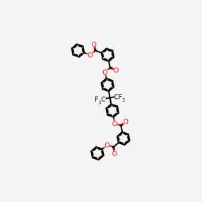 O=C(Oc1ccccc1)c1cccc(C(=O)Oc2ccc(C(c3ccc(OC(=O)c4cccc(C(=O)Oc5ccccc5)c4)cc3)(C(F)(F)F)C(F)(F)F)cc2)c1